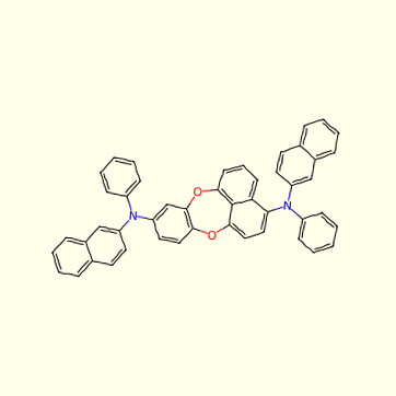 c1ccc(N(c2ccc3c(c2)Oc2cccc4c(N(c5ccccc5)c5ccc6ccccc6c5)ccc(c24)O3)c2ccc3ccccc3c2)cc1